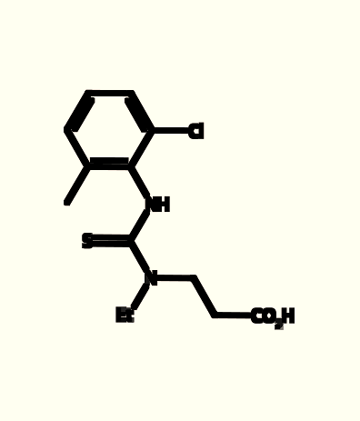 CCN(CCC(=O)O)C(=S)Nc1c(C)cccc1Cl